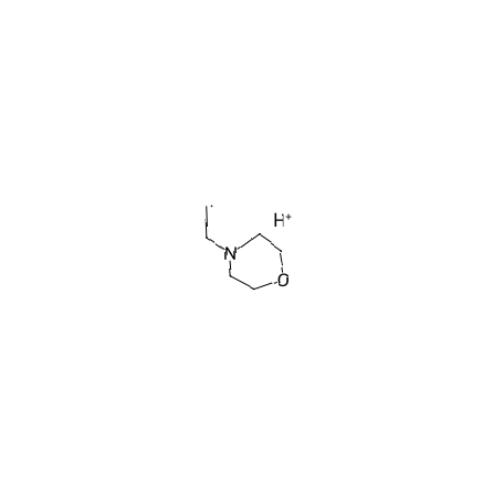 [CH2]CN1CCOCC1.[H+]